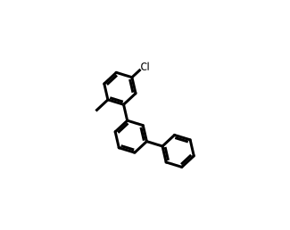 Cc1ccc(Cl)cc1-c1cccc(-c2ccccc2)c1